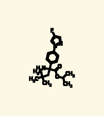 CC(C)OC(=O)C(N)(CC(C)(C)C)c1ccc(-n2cc(F)cn2)cc1